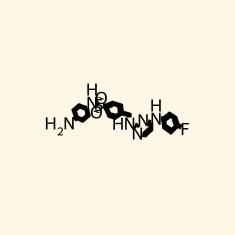 NC1CCC(NS(=O)(=O)c2ccc(CNc3nccc(Nc4ccc(F)cc4)n3)cc2)CC1